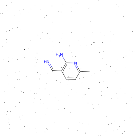 Cc1ccc(C=N)c(N)n1